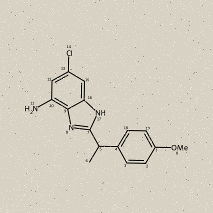 COc1ccc(C(C)c2nc3c(N)cc(Cl)cc3[nH]2)cc1